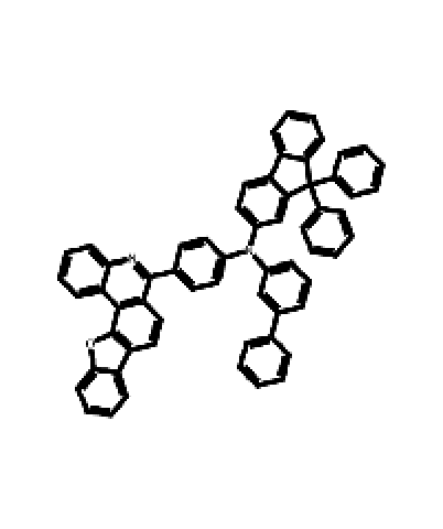 c1ccc(-c2cccc(N(c3ccc(-c4nc5ccccc5c5c4ccc4c6ccccc6oc45)cc3)c3ccc4c(c3)C(c3ccccc3)(c3ccccc3)c3ccccc3-4)c2)cc1